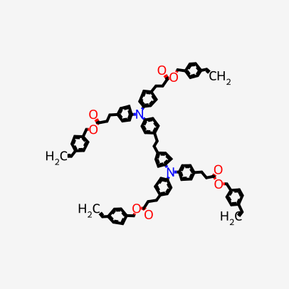 C=Cc1ccc(COC(=O)CCc2ccc(N(c3ccc(CCC(=O)OCc4ccc(C=C)cc4)cc3)c3ccc(CCc4ccc(N(c5ccc(CCC(=O)OCc6ccc(C=C)cc6)cc5)c5ccc(CCC(=O)OCc6ccc(C=C)cc6)cc5)cc4)cc3)cc2)cc1